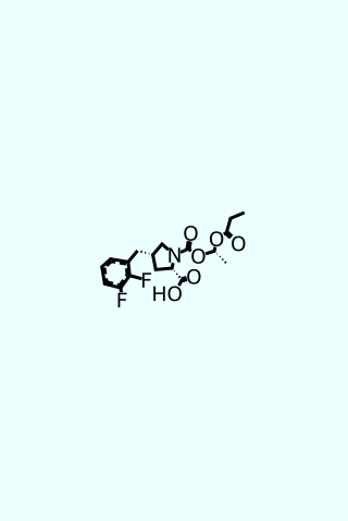 CCC(=O)O[C@H](C)OC(=O)N1C[C@@H](Cc2cccc(F)c2F)C[C@H]1C(=O)O